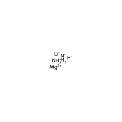 [H-].[Li+].[Mg+2].[NH2-].[NH2-]